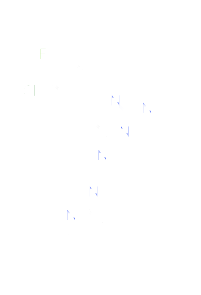 CC1CCCN1c1nc(-c2ccc(F)c(Cl)c2)cc(N2CCN(c3ncccc3F)CC2)n1